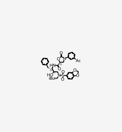 CC[C@H](C)CN(C[C@@H](O)[C@H](Cc1ccccc1)NC(=O)[C@@H]1CN(c2cccc(C(C)=O)c2)C(=O)O1)S(=O)(=O)c1ccc2c(c1)OCO2